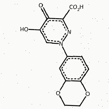 O=C(O)c1nn(-c2ccc3c(c2)OCCO3)cc(O)c1=O